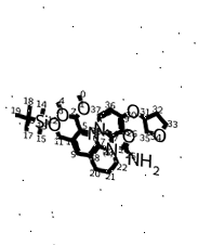 COC(OC)c1nc2c(cc1CO[Si](C)(C)C(C)(C)C)CCC[N@+]2(C(N)=O)c1cc(OC2CCOC2)ccn1